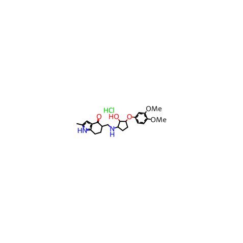 COc1ccc(OC2CCC(NCC3CCc4[nH]c(C)cc4C3=O)C2O)cc1OC.Cl